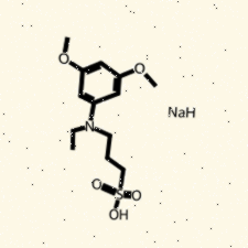 CCN(CCCS(=O)(=O)O)c1cc(OC)cc(OC)c1.[NaH]